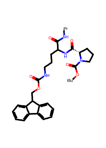 CC(C)NC(=O)C(CCCNC(=O)OCC1c2ccccc2-c2ccccc21)NC(=O)[C@@H]1CCCN1C(=O)OC(C)(C)C